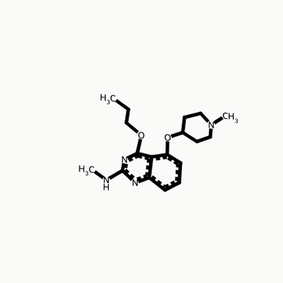 CCCOc1nc(NC)nc2cccc(OC3CCN(C)CC3)c12